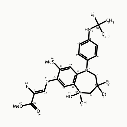 CCC1(CC)CN(c2ccc(NC(C)(C)CC)cc2)c2cc(SC)c(O/C=C(\F)C(=O)OC)cc2S(O)(O)C1